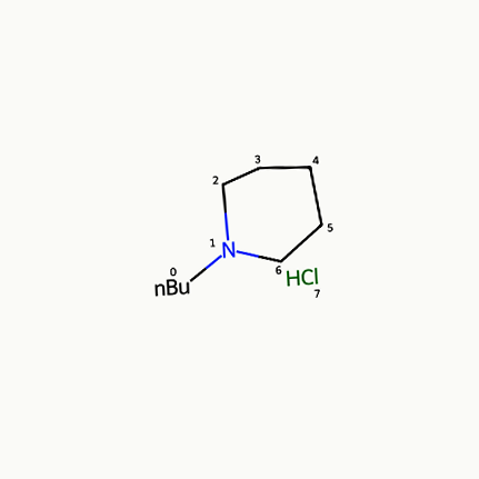 CCCCN1CCCCC1.Cl